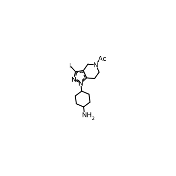 CC(=O)N1CCc2c(c(I)nn2C2CCC(N)CC2)C1